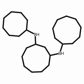 B(C1CCCCCCCC1)C1CCCCCCC(BC2CCCCCCC2)C1